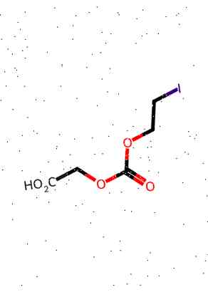 O=C(O)COC(=O)OCCI